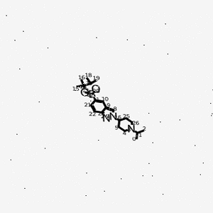 CC(C)N1CCC(n2cc3cc(B4OC(C)(C)C(C)(C)O4)ccc3n2)CC1